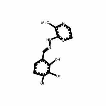 COc1nccnc1NN=Cc1ccc(O)c(O)c1O